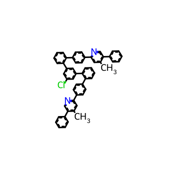 Cc1cc(-c2ccc(-c3ccccc3-c3cc(Cl)cc(-c4ccccc4-c4ccc(-c5cc(C)c(-c6ccccc6)cn5)cc4)c3)cc2)ncc1-c1ccccc1